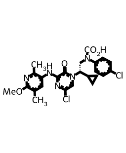 COc1nc(C)c(Nc2nc(Cl)cn([C@H](CN(C(=O)O)c3ccc(Cl)cc3)C3CC3)c2=O)cc1C